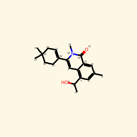 Cc1cc(C(C)O)c2cc(C3=CCC(C)(C)CC3)n(C)c(=O)c2c1